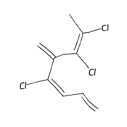 C=C/C=C(/Cl)C(=C)/C(Cl)=C(\C)Cl